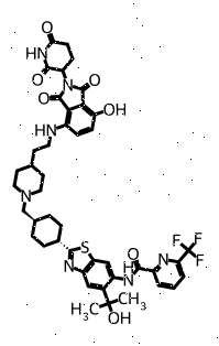 CC(C)(O)c1cc2nc([C@H]3CC[C@H](CN4CCC(CCNc5ccc(O)c6c5C(=O)N(C5CCC(=O)NC5=O)C6=O)CC4)CC3)sc2cc1NC(=O)c1cccc(C(F)(F)F)n1